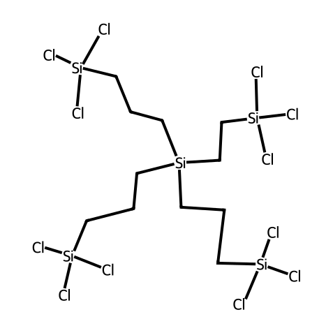 Cl[Si](Cl)(Cl)CCC[Si](CCC[Si](Cl)(Cl)Cl)(CCC[Si](Cl)(Cl)Cl)CC[Si](Cl)(Cl)Cl